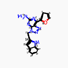 Nc1nc(-c2ccco2)c2nnn(Cc3cc4ccccc4[nH]3)c2n1